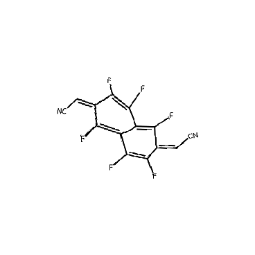 N#C/C=c1/c(F)c(F)c2c(F)/c(=C\C#N)c(F)c(F)c2c1F